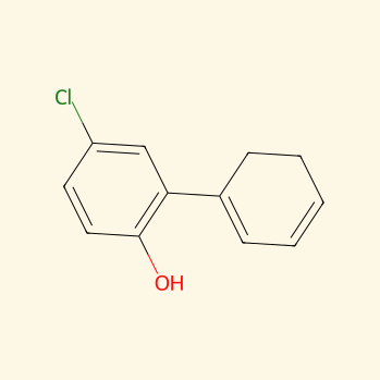 Oc1ccc(Cl)cc1C1=CC=CCC1